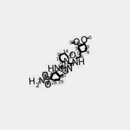 COc1ccc(CC(=O)NC(=N)N2CCCC[C@@H]2C(=O)Nc2cc(S(N)(=O)=O)ccc2C)cc1OC